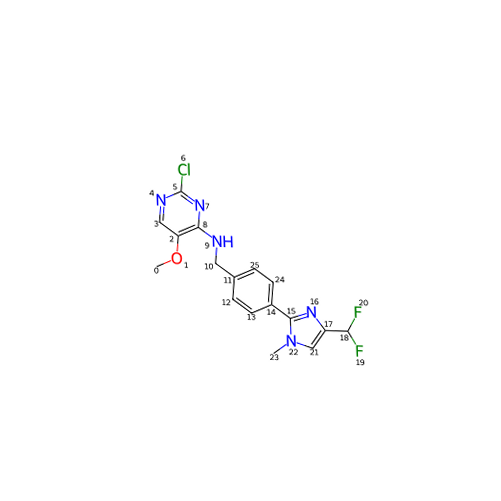 COc1cnc(Cl)nc1NCc1ccc(-c2nc(C(F)F)cn2C)cc1